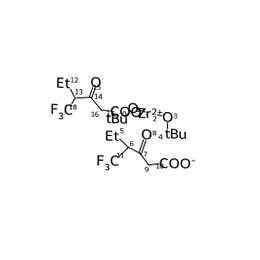 CC(C)(C)[O][Zr+2][O]C(C)(C)C.CCC(C(=O)CC(=O)[O-])C(F)(F)F.CCC(C(=O)CC(=O)[O-])C(F)(F)F